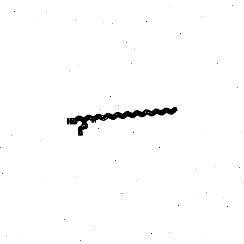 CCCCCCCCCCCCCCCCCSCC(CO)OCC